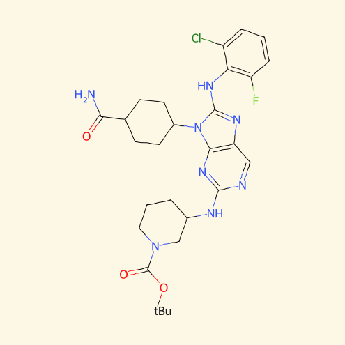 CC(C)(C)OC(=O)N1CCCC(Nc2ncc3nc(Nc4c(F)cccc4Cl)n(C4CCC(C(N)=O)CC4)c3n2)C1